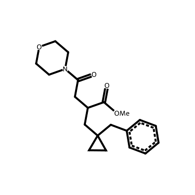 COC(=O)C(CC(=O)N1CCOCC1)CC1(Cc2ccccc2)CC1